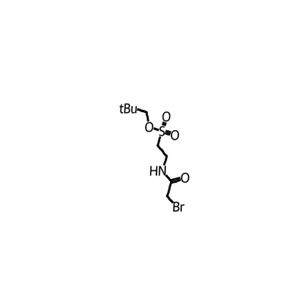 CC(C)(C)COS(=O)(=O)CCNC(=O)CBr